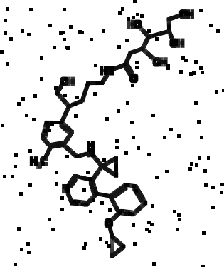 Cc1ccc(C(CO)CCCNC(=O)CC(O)C(O)C(O)CO)cc1CNC1(c2cnccc2-c2ccccc2OC2CC2)CC1